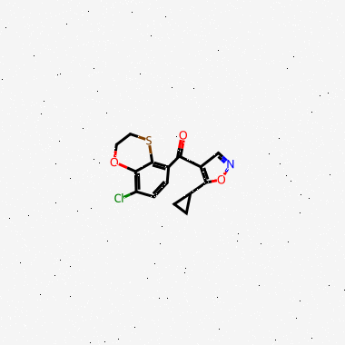 O=C(c1cnoc1C1CC1)c1ccc(Cl)c2c1SCCO2